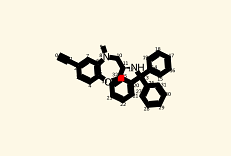 C#Cc1ccc2c(c1)N(C)C[C@H](NC(c1ccccc1)(c1ccccc1)c1ccccc1)CO2